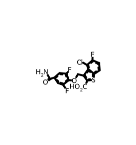 NC(=O)c1cc(F)c(OCc2c(C(=O)O)sc3ccc(F)c(Cl)c23)c(F)c1